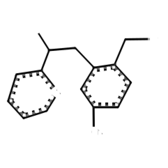 CC(C)Cc1ccc(C#N)cc1CC(C)c1ccccn1